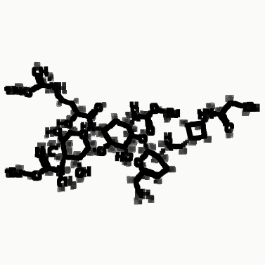 C=C(NCC[C@H](O)C(=O)N[C@@H]1C[C@H](NC(=O)OC(C)(C)C)[C@@H](O[C@H]2OC(CN)=CC[C@H]2NC[C@H]2C[C@H](NC(=O)CC(C)(C)C)C2)[C@H](O)[C@H]1O[C@H]1OC[C@](C)(O)[C@H](N(C)C(=O)OC(C)(C)C)[C@H]1O)OC(C)(C)C